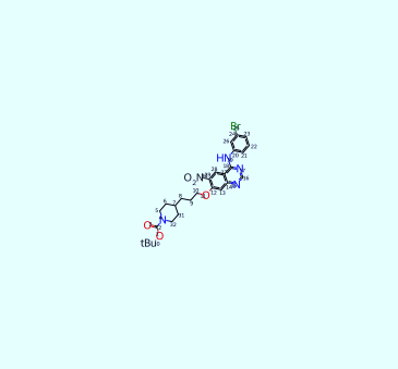 CC(C)(C)OC(=O)N1CCC(CCCOc2cc3ncnc(Nc4cccc(Br)c4)c3cc2[N+](=O)[O-])CC1